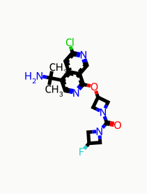 CC(C)(N)c1cnc(OC2CN(C(=O)N3CC(F)C3)C2)c2cnc(Cl)cc12